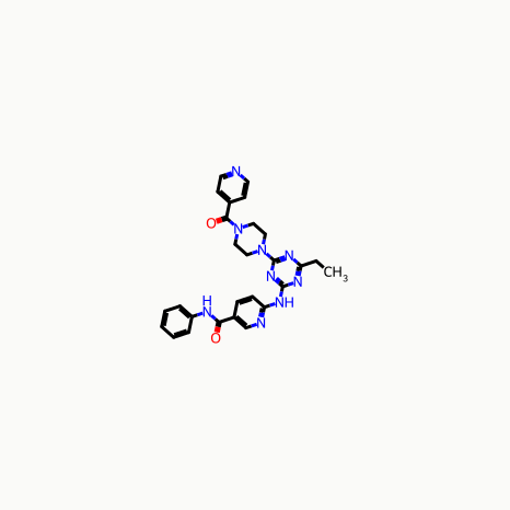 CCc1nc(Nc2ccc(C(=O)Nc3ccccc3)cn2)nc(N2CCN(C(=O)c3ccncc3)CC2)n1